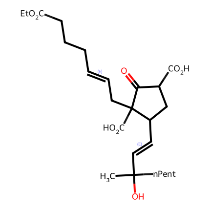 CCCCCC(C)(O)/C=C/C1CC(C(=O)O)C(=O)C1(C/C=C/CCCC(=O)OCC)C(=O)O